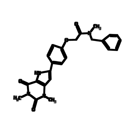 CN(Cc1ccccc1)C(=O)COc1ccc(-c2cc3c([nH]2)c(=O)n(C)c(=O)n3C)cc1